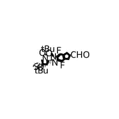 Cn1c([C@@H]2C[C@@H](O[Si](C)(C)C(C)(C)C)CN2C(=O)OC(C)(C)C)nc2c(F)c3c(c(F)c21)CC(C=O)C3